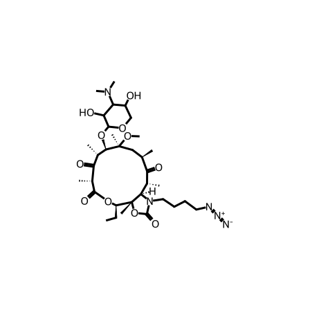 CC[C@H]1OC(=O)[C@H](C)C(=O)[C@H](C)[C@@H](OC2OCC(O)C(N(C)C)C2O)[C@@](C)(OC)C[C@@H](C)C(=O)[C@H](C)[C@H]2N(CCCCN=[N+]=[N-])C(=O)O[C@]12C